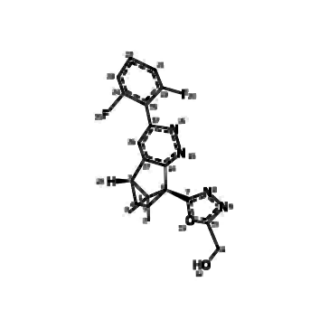 CC1(C)[C@@H]2CC[C@@]1(c1nnc(CO)o1)c1nnc(-c3c(F)cccc3F)cc12